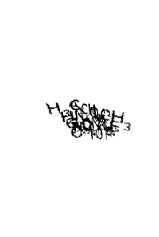 CC(C)Nc1cc(-n2c(=O)n(C)n(C(F)F)c2=O)c(F)cc1[N+](=O)[O-]